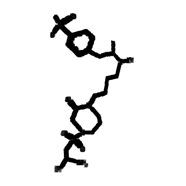 CCN(CCCCN1CCCN(S(=O)(=O)CC(N)C(C)C)CC1=O)C(C)Cc1ccc(S(C)(=O)=O)cc1